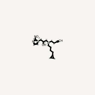 C#CCCN(CCCCC1CC1)CC(O)Cn1ccnc1[N+](=O)[O-]